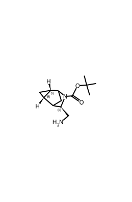 CC(C)(C)OC(=O)N1C2CC([C@@H]3C[C@H]23)[C@@H]1CN